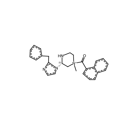 C[N+]1(C(=O)c2cccc3ccccc23)CCN[C@@H](n2ccnc2Cc2ccccc2)C1